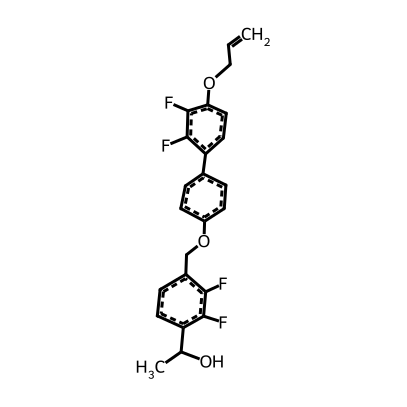 C=CCOc1ccc(-c2ccc(OCc3ccc(C(C)O)c(F)c3F)cc2)c(F)c1F